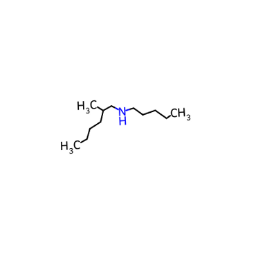 CCCCCNCC(C)CCCC